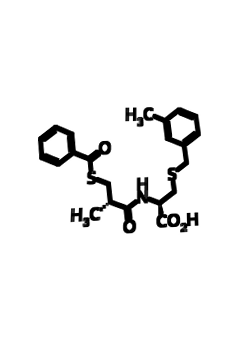 Cc1cccc(CSC[C@H](NC(=O)[C@H](C)CSC(=O)c2ccccc2)C(=O)O)c1